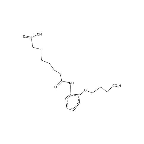 O=C(O)CCCOc1ccccc1NC(=O)CCCCCCS(=O)O